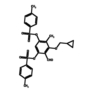 Cc1ccc(S(=O)(=O)Oc2cc(OS(=O)(=O)c3ccc(C)cc3)c(C=O)c(OCC3CC3)c2C)cc1